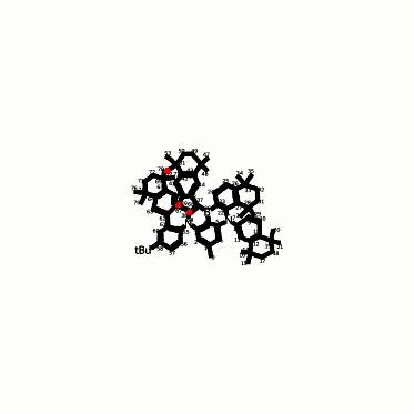 Cc1cc2c3c(c1)N(c1ccc4c(c1)C(C)(C)CCC4(C)C)c1c(ccc4c1C(C)(C)CCC4(C)C)B3C1=C(Cc3cc4c(cc31)C(C)(C)CCC4(C)C)N2c1ccc(C(C)(C)C)cc1-c1cc2c(cc1C)C(C)(C)CCC2(C)C